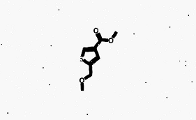 COCc1cc(C(=O)OC)cs1